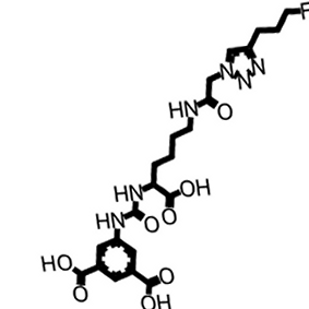 O=C(Cn1cc(CCCF)nn1)NCCCCC(NC(=O)Nc1cc(C(=O)O)cc(C(=O)O)c1)C(=O)O